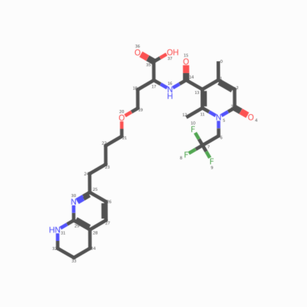 Cc1cc(=O)n(CC(F)(F)F)c(C)c1C(=O)NC(CCOCCCCc1ccc2c(n1)NCCC2)C(=O)O